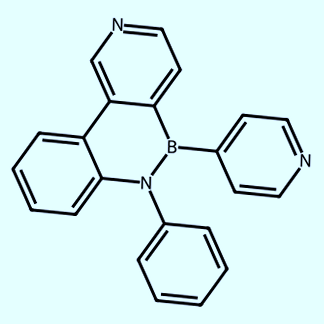 c1ccc(N2B(c3ccncc3)c3ccncc3-c3ccccc32)cc1